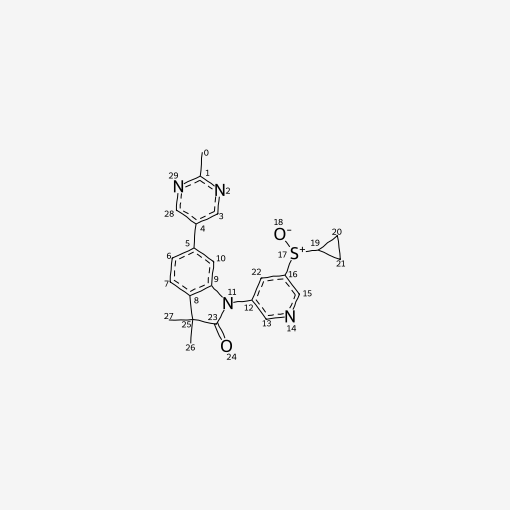 Cc1ncc(-c2ccc3c(c2)N(c2cncc([S+]([O-])C4CC4)c2)C(=O)C3(C)C)cn1